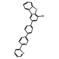 Brc1cc(-c2ccc(-c3ccc(-c4ccccn4)nc3)cc2)cc2c1oc1ccccc12